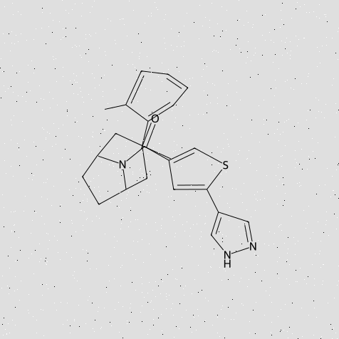 Cc1ccccc1C1(C)CC2CCC(C1)N2C(=O)c1csc(-c2cn[nH]c2)c1